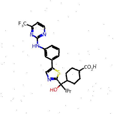 CC(C)C(O)(c1ncc(-c2cccc(Nc3nccc(C(F)(F)F)n3)c2)s1)C1CCC(C(=O)O)CC1